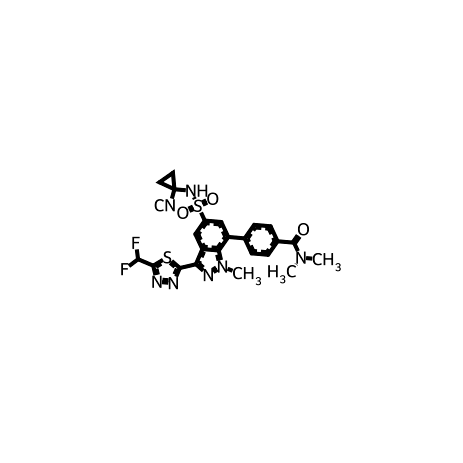 CN(C)C(=O)c1ccc(-c2cc(S(=O)(=O)NC3(C#N)CC3)cc3c(-c4nnc(C(F)F)s4)nn(C)c23)cc1